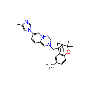 Cc1cn(C2=CN3CCN(C[C@@]45C[C@@H]4C(C)(C)Oc4ccc(C(F)(F)F)cc45)C=C3C=C2)cn1